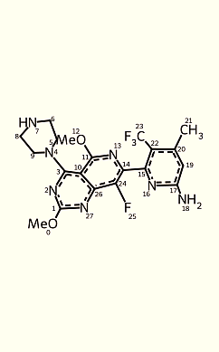 COc1nc(N2CCNCC2)c2c(OC)nc(-c3nc(N)cc(C)c3C(F)(F)F)c(F)c2n1